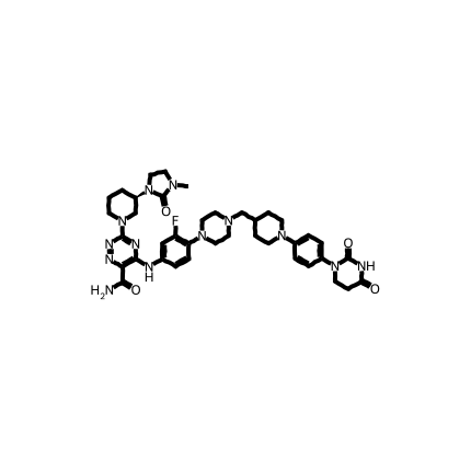 CN1CCN([C@@H]2CCCN(c3nnc(C(N)=O)c(Nc4ccc(N5CCN(CC6CCN(c7ccc(N8CCC(=O)NC8=O)cc7)CC6)CC5)c(F)c4)n3)C2)C1=O